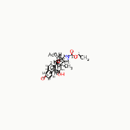 C=COC(=O)N1C[C@@H]2C[C@H]3[C@@H]4CCC5=CC(=O)C=C[C@]5(C)[C@H]4[C@@H](O)C[C@]3(C)[C@]2(C(=O)COC(C)=O)C1